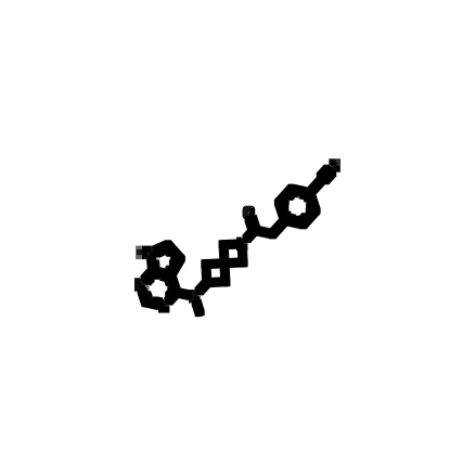 CN(c1ncnc2[nH]ccc12)C1CC2(C1)CN(C(=O)Cc1ccc(C#N)cc1)C2